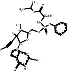 CC(C)OC(=O)[C@H](C)NP(=O)(OC[C@H]1O[C@@H](n2ccc3c(=O)[nH]c(N)nc32)C(F)(C#CCl)[C@H]1O)Oc1ccccc1